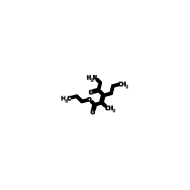 CCCOC(=O)C(C)=C(CCC)C(=O)CN